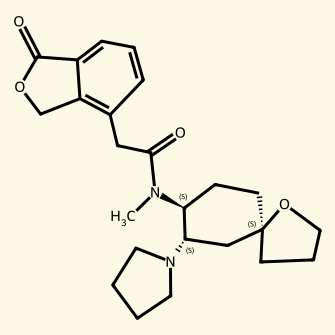 CN(C(=O)Cc1cccc2c1COC2=O)[C@H]1CC[C@]2(CCCO2)C[C@@H]1N1CCCC1